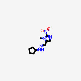 Cn1c(C=NNC2CCCC2)cnc1[N+](=O)[O-]